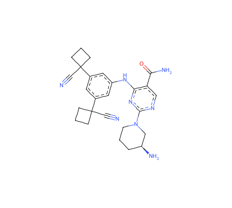 N#CC1(c2cc(Nc3nc(N4CCC[C@H](N)C4)ncc3C(N)=O)cc(C3(C#N)CCC3)c2)CCC1